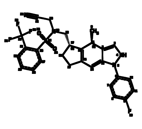 C[C@H]1C2=CNN(c3ccc(F)cc3)C2=CC2=C1[C@@H](CN(CC#N)S(=O)(=O)c1ccccc1C(F)(F)F)CC2